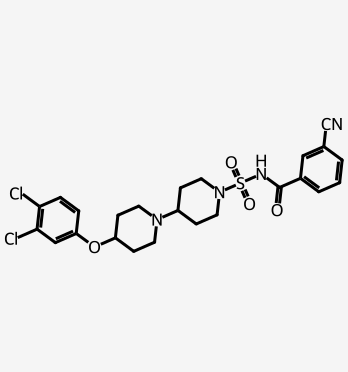 N#Cc1cccc(C(=O)NS(=O)(=O)N2CCC(N3CCC(Oc4ccc(Cl)c(Cl)c4)CC3)CC2)c1